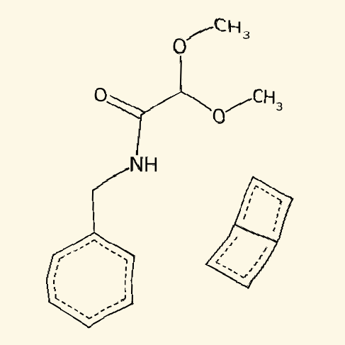 COC(OC)C(=O)NCc1ccccc1.c1cc2ccc1-2